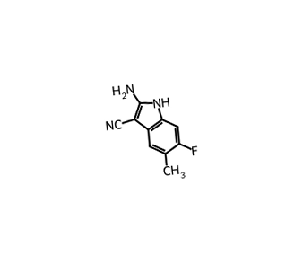 Cc1cc2c(C#N)c(N)[nH]c2cc1F